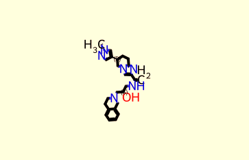 C=C(NC[C@H](O)CN1CCc2ccccc2C1)c1cn2c(n1)CC[C@H](c1cnn(C)c1)C2